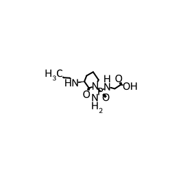 CCCN[C@H]1CCCN(P(N)(=O)NCC(=O)O)C1=O